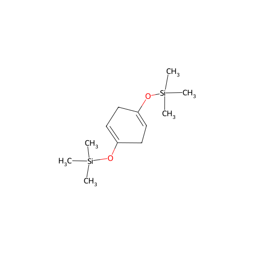 C[Si](C)(C)OC1=CCC(O[Si](C)(C)C)=CC1